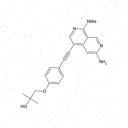 CNc1ncc(C#Cc2ccc(OCC(C)(C)O)cc2)c2cc(N)ncc12